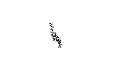 CCCCCCC[C@@H]1CCC2C(CCC3C[C@H](OCCC)CCC32)C1